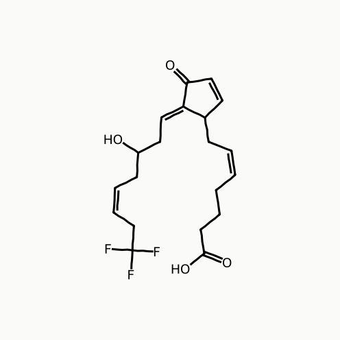 O=C(O)CCC/C=C\CC1C=CC(=O)/C1=C/CC(O)C/C=C\CC(F)(F)F